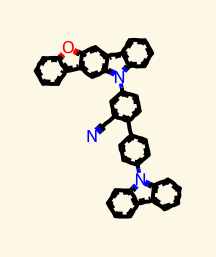 N#Cc1cc(-n2c3ccccc3c3cc4oc5ccccc5c4cc32)ccc1-c1ccc(-n2c3ccccc3c3ccccc32)cc1